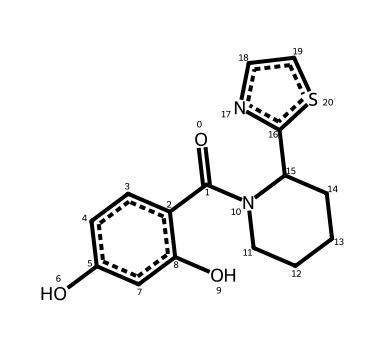 O=C(c1ccc(O)cc1O)N1CCCCC1c1nccs1